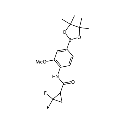 COc1cc(B2OC(C)(C)C(C)(C)O2)ccc1NC(=O)C1CC1(F)F